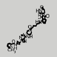 Cc1cccc(C(=O)NC2CC(n3cnc4c(NC5CCN(C(=O)CCCCCNc6cccc7c6C(=O)N([C@H]6CCC(=O)NC6=O)C7=O)CC5)ncnc43)C2)n1